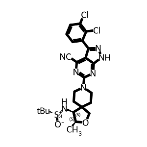 C[C@@H]1OCC2(CCN(c3nc(C#N)c4c(-c5cccc(Cl)c5Cl)n[nH]c4n3)CC2)[C@@H]1N[S@+]([O-])C(C)(C)C